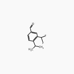 CC(C)c1ccc(C=O)cc1C(F)F